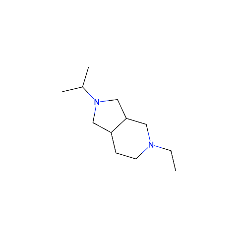 CCN1CCC2CN(C(C)C)CC2C1